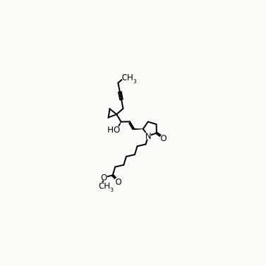 CCC#CCC1([C@H](O)/C=C/[C@H]2CCC(=O)N2CCCCCCC(=O)OC)CC1